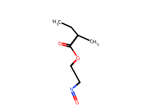 CCC(C)C(=O)OCCN=O